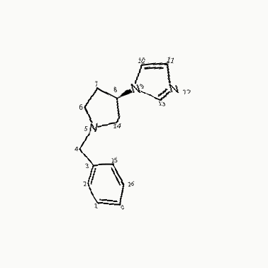 c1ccc(CN2CC[C@@H](n3ccnc3)C2)cc1